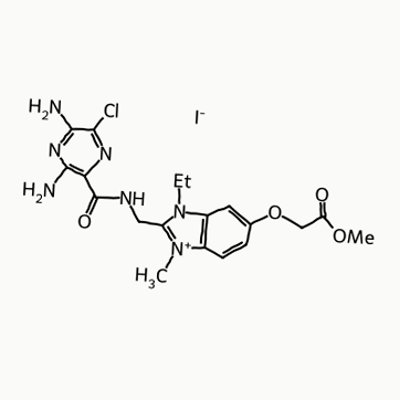 CCn1c(CNC(=O)c2nc(Cl)c(N)nc2N)[n+](C)c2ccc(OCC(=O)OC)cc21.[I-]